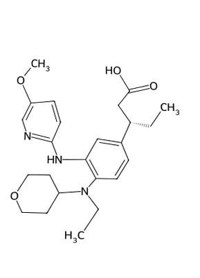 CC[C@@H](CC(=O)O)c1ccc(N(CC)C2CCOCC2)c(Nc2ccc(OC)cn2)c1